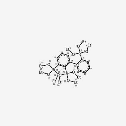 CCO[Si](OCC)(OCC)c1ccccc1-c1cccc([Si](OCC)(OCC)OCC)c1[Si](OCC)(OCC)OCC